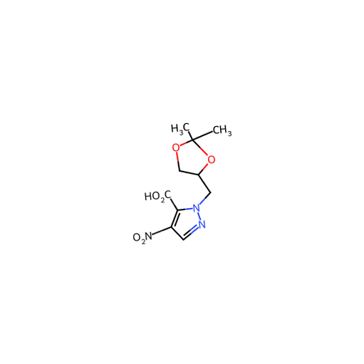 CC1(C)OCC(Cn2ncc([N+](=O)[O-])c2C(=O)O)O1